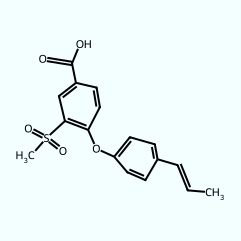 C/C=C/c1ccc(Oc2ccc(C(=O)O)cc2S(C)(=O)=O)cc1